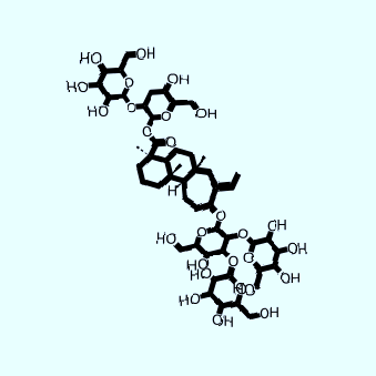 C/C=C1\C[C@@]2(C)CCC3[C@](C)(C(=O)OC4OC(CO)C(O)CC4OC4OC(CO)C(O)C(O)C4O)CCC[C@@]3(C)[C@@H]2CCC1OC1OC(CO)C(O)C(OC2OC(CO)C(O)C(O)C2O)C1OC1OC(CO)C(O)C(O)C1O